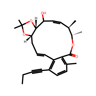 CCC#Cc1ccc(C)c2c1/C=C/C[C@@H]1OC(C)(C)O[C@@H]1C(O)/C=C\[C@@H](C)[C@H](C)OC2=O